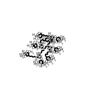 CC1(C)CC(CCCCNc2nc(NCCCN(CCN(CCCNc3nc(NCCCCC4CC(C)(C)NC(C)(C)C4)nc(OC4CC(C)(C)NC(C)(C)C4)n3)c3nc(NCCCCC4CC(C)(C)NC(C)(C)C4)nc(OC4CC(C)(C)NC(C)(C)C4)n3)c3nc(NCCCCC4CC(C)(C)NC(C)(C)C4)nc(OC4CC(C)(C)NC(C)(C)C4)n3)nc(OC3CC(C)(C)NC(C)(C)C3)n2)CC(C)(C)N1